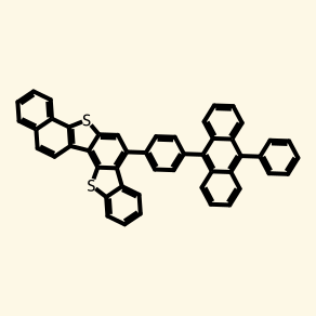 c1ccc(-c2c3ccccc3c(-c3ccc(-c4cc5sc6c7ccccc7ccc6c5c5sc6ccccc6c45)cc3)c3ccccc23)cc1